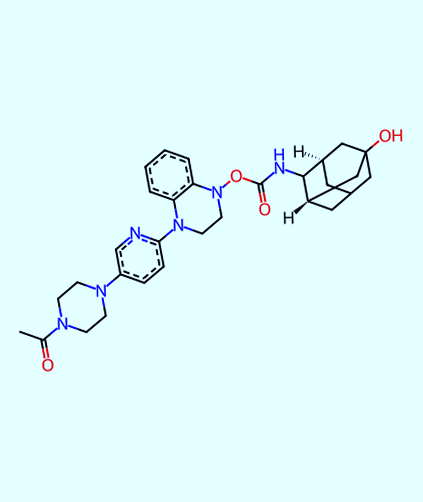 CC(=O)N1CCN(c2ccc(N3CCN(OC(=O)NC4[C@@H]5CC6C[C@H]4CC(O)(C6)C5)c4ccccc43)nc2)CC1